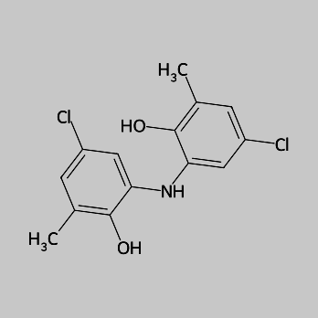 Cc1cc(Cl)cc(Nc2cc(Cl)cc(C)c2O)c1O